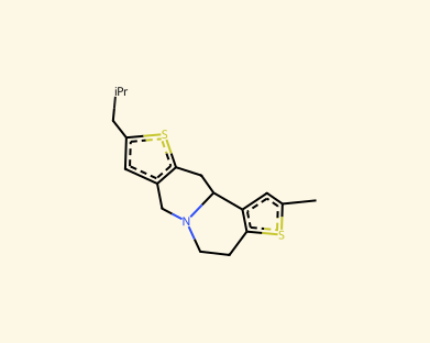 Cc1cc2c(s1)CCN1Cc3cc(CC(C)C)sc3CC21